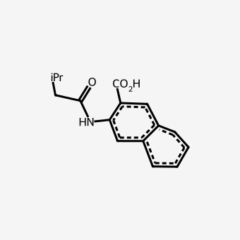 CC(C)CC(=O)Nc1cc2ccccc2cc1C(=O)O